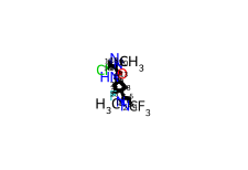 Cn1nc(C(F)(F)F)cc1-c1ccc(NC(=O)c2c(Cl)cnn2C)cc1F